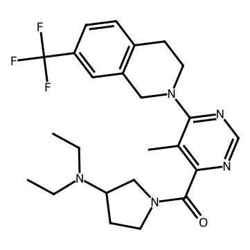 CCN(CC)C1CCN(C(=O)c2ncnc(N3CCc4ccc(C(F)(F)F)cc4C3)c2C)C1